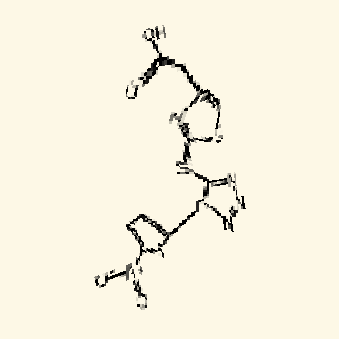 O=C(O)Cc1csc(Sc2nnnn2-c2ccc([N+](=O)[O-])s2)n1